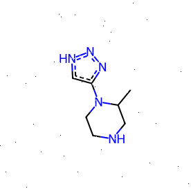 CC1CNCCN1c1c[nH]nn1